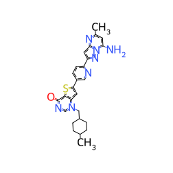 Cc1cc(N)n2nc(-c3ccc(-c4cc5c(s4)c(=O)ncn5CC4CCC(C)CC4)cn3)cc2n1